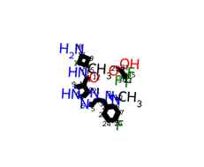 Cn1nc(-c2cnc3[nH]cc(C(=O)N[C@]4(C)C[C@H](N)C4)c3n2)c2ccc(F)cc21.O=C(O)C(F)(F)F